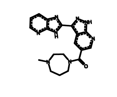 CN1CCCN(C(=O)c2cnc3[nH]nc(-c4nc5cccnc5[nH]4)c3c2)CC1